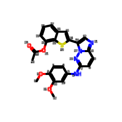 COc1ccc(Nc2ccc3ncc(-c4cc5cccc(OC(C)=O)c5s4)n3n2)cc1OC